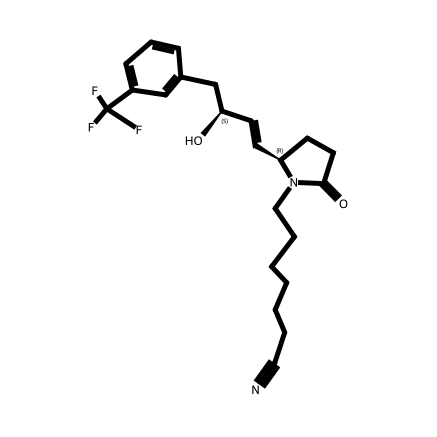 N#CCCCCCCN1C(=O)CC[C@@H]1C=C[C@@H](O)Cc1cccc(C(F)(F)F)c1